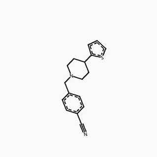 N#Cc1ccc(CN2CCC(c3cccs3)CC2)cc1